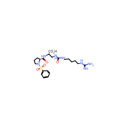 N=C(N)NCCCCCNC(=O)NC[C@H](NC(=O)[C@@H]1CCCN1S(=O)(=O)c1ccccc1)C(=O)O